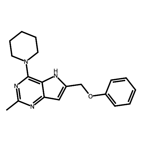 Cc1nc(N2CCCCC2)c2[nH]c(COc3ccccc3)cc2n1